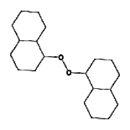 C1CCC2C(C1)CCCC2OOC1CCCC2CCCCC21